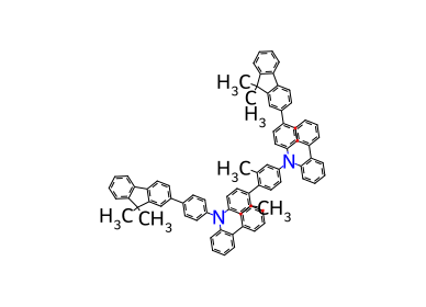 Cc1cc(N(c2ccc(-c3ccc4c(c3)C(C)(C)c3ccccc3-4)cc2)c2ccccc2-c2ccccc2)ccc1-c1ccc(N(c2ccc(-c3ccc4c(c3)C(C)(C)c3ccccc3-4)cc2)c2ccccc2-c2ccccc2)cc1C